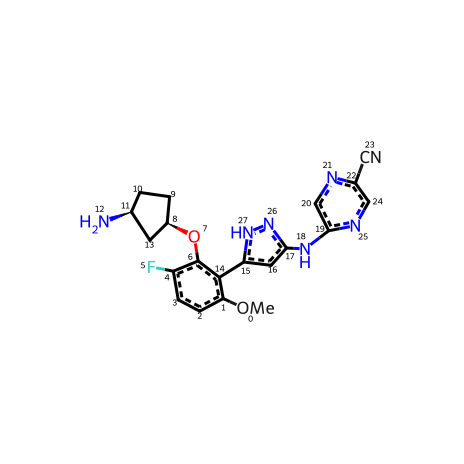 COc1ccc(F)c(O[C@@H]2CC[C@H](N)C2)c1-c1cc(Nc2cnc(C#N)cn2)n[nH]1